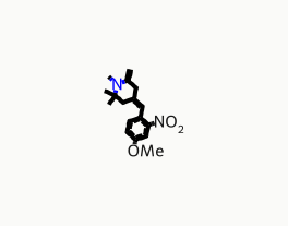 C=C1C/C(=C/c2ccc(OC)cc2[N+](=O)[O-])CC(C)(C)N1C